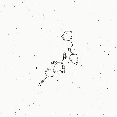 N#Cc1ccc(NC(=O)Nc2ccccc2OCc2ccccc2)c(O)c1